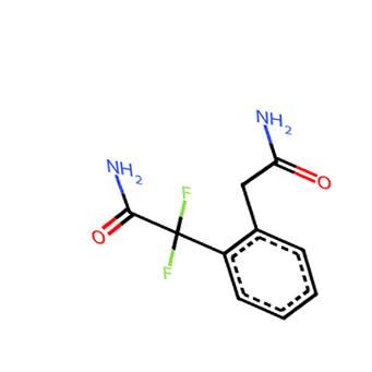 NC(=O)Cc1ccccc1C(F)(F)C(N)=O